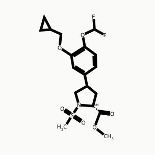 COC(=O)[C@H]1CC(c2ccc(OC(F)F)c(OCC3CC3)c2)CN1S(C)(=O)=O